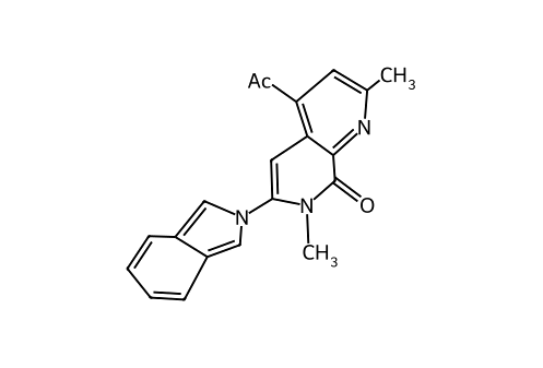 CC(=O)c1cc(C)nc2c(=O)n(C)c(-n3cc4ccccc4c3)cc12